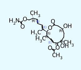 CC(=O)O[C@H]1/C=C/[C@H](C)[C@@H](/C(C)=C/C=C/[C@@H](C)COC(N)=O)OC(=O)C[C@H](O)CC[C@@]1(C)O